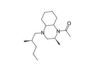 CCC[C@@H](C)CN1C[C@H](C)N(C(C)=O)C2CCCCC21